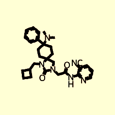 CN(C)C1(c2ccccc2)CCC2(CC1)CN(CC(=O)Nc1ncccc1C#N)C(=O)N2CC1CCC1